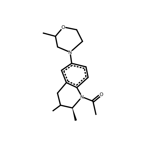 CC(=O)N1c2ccc(N3CCOC(C)C3)cc2CC(C)[C@@H]1C